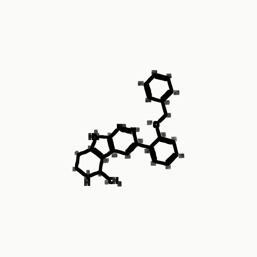 CC1NCCc2[nH]c3nnc(-c4ccccc4OCc4ccccc4)cc3c21